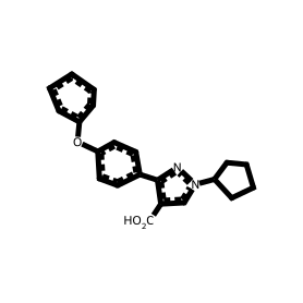 O=C(O)c1cn(C2CCCC2)nc1-c1ccc(Oc2ccccc2)cc1